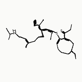 C=C/C(C)=C(/C=C(\C)SC1=CCCCC(CC)C/C=C\1C(=S)CC)CCCC(C)=CCNC(C)C